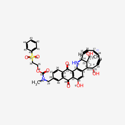 C[C@@H](O)[C@@]12C[C@]13c1cc(O)c4c(c1N[C@H]2C#C/C=C\C#C[C@H]3O)C(=O)c1ccc(CN(C)C(=O)OCCS(=O)(=O)c2ccccc2)cc1C4=O